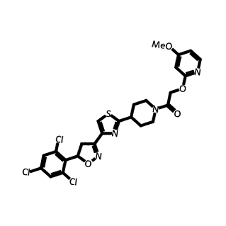 COc1ccnc(OCC(=O)N2CCC(c3nc(C4=NOC(c5c(Cl)cc(Cl)cc5Cl)C4)cs3)CC2)c1